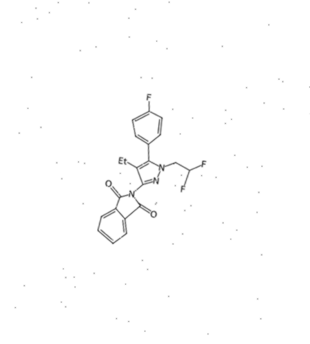 CCc1c(N2C(=O)c3ccccc3C2=O)nn(CC(F)F)c1-c1ccc(F)cc1